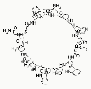 CCCC[C@H]1C(=O)N(C)[C@@H](CCCC)C(=O)N[C@@H](CN)C(=O)N[C@H](C(=O)NCC(N)=O)CSCC(=O)NC(Cc2ccccc2)C(=O)N(C)[C@@H](C)C(=O)N[C@@H](CC(N)=O)C(=O)N2CCC[C@H]2C(=O)N[C@@H](Cc2cnc[nH]2)C(=O)N[C@@H](CC(C)C)C(=O)N(C)CC(=O)N[C@@H](Cc2c[nH]c3ccccc23)C(=O)N[C@@H](CO)C(=O)N[C@@H](Cc2c[nH]c3ccccc23)C(=O)N1C